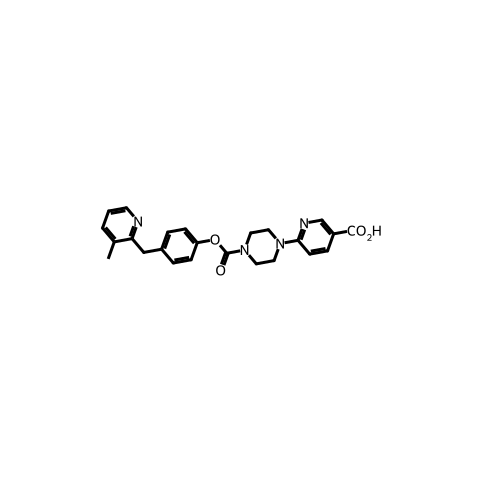 Cc1cccnc1Cc1ccc(OC(=O)N2CCN(c3ccc(C(=O)O)cn3)CC2)cc1